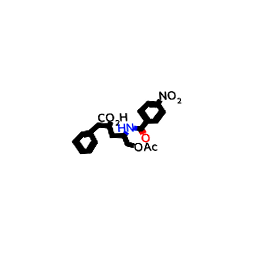 CC(=O)OCC(CC(Cc1ccccc1)C(=O)O)NC(=O)c1ccc([N+](=O)[O-])cc1